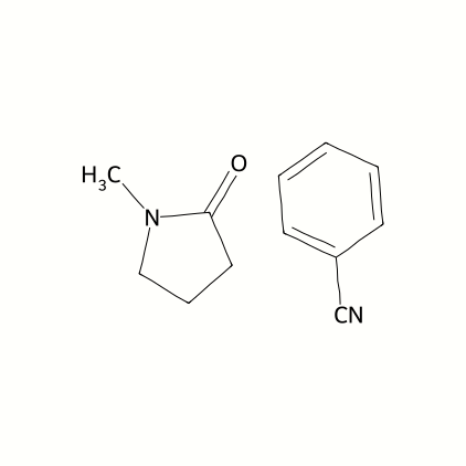 CN1CCCC1=O.N#Cc1ccccc1